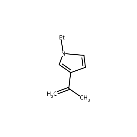 C=C(C)c1ccn(CC)c1